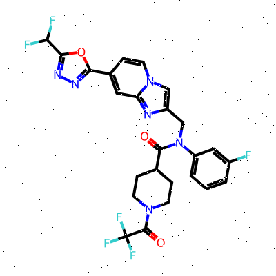 O=C(C1CCN(C(=O)C(F)(F)F)CC1)N(Cc1cn2ccc(-c3nnc(C(F)F)o3)cc2n1)c1cccc(F)c1